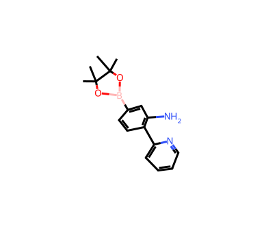 CC1(C)OB(c2ccc(-c3ccccn3)c(N)c2)OC1(C)C